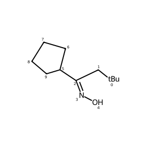 CC(C)(C)C/C(=N\O)C1CCCC1